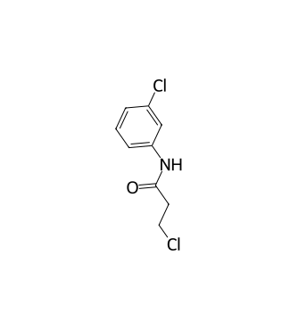 O=C(CCCl)Nc1cccc(Cl)c1